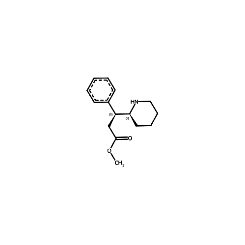 COC(=O)C[C@@H](c1ccccc1)[C@@H]1CCCCN1